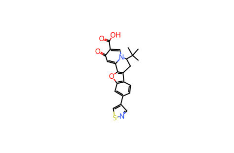 CC(C)(C)C1Cc2c(oc3cc(-c4cnsc4)ccc23)-c2cc(=O)c(C(=O)O)cn21